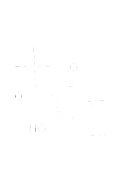 CC(C)(C)C(=O)C1=C(O)c2ccccc2C1=O